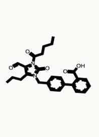 CCCCC(=O)n1c(C=O)c(CCC)n(Cc2ccc(-c3ccccc3C(=O)O)cc2)c1=O